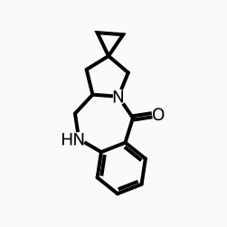 O=C1c2ccccc2NCC2CC3(CC3)CN12